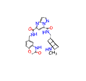 CNC12C3C4C1C1C2C3C41CNC(=O)c1cc(C(=O)NCc2ccc3c(c2)NC(=O)CO3)nc2ccnn12